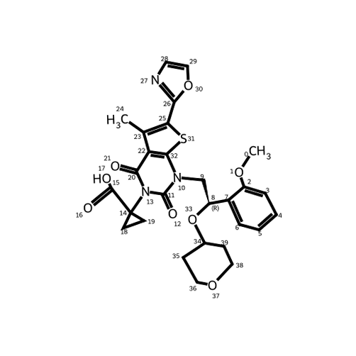 COc1ccccc1[C@H](Cn1c(=O)n(C2(C(=O)O)CC2)c(=O)c2c(C)c(-c3ncco3)sc21)OC1CCOCC1